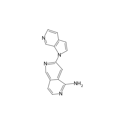 Nc1nccc2cnc(-n3ccc4ccncc43)cc12